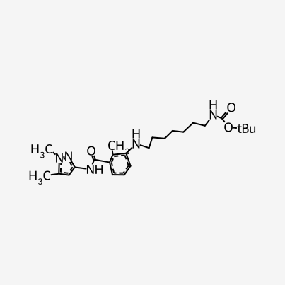 Cc1c(NCCCCCCCNC(=O)OC(C)(C)C)cccc1C(=O)Nc1cc(C)n(C)n1